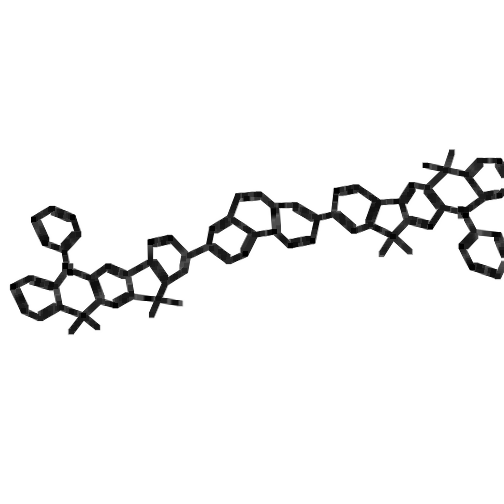 CC1(C)c2cc(-c3ccc4c(ccc5cc(-c6ccc7c(c6)C(C)(C)c6cc8c(cc6-7)N(c6ccccc6)c6ccccc6C8(C)C)ccc54)c3)ccc2-c2cc3c(cc21)N(c1ccccc1)c1ccccc1C3(C)C